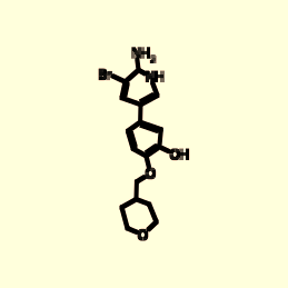 NC1NC=C(c2ccc(OCC3CCOCC3)c(O)c2)C=C1Br